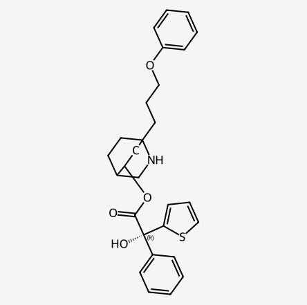 O=C(OC1CC2(CCCOc3ccccc3)CCC1CN2)[C@](O)(c1ccccc1)c1cccs1